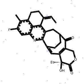 C/C=C1/CCc2c(C)c(F)cc3nc4c(c1c23)CC1CC/C4=C\C2=C(COC(=O)[C@]2(O)CC)C1=O